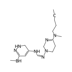 CBC1=NNCC(N/C=N\N2CCC(N(C)CCCCC)=NC2)=C1